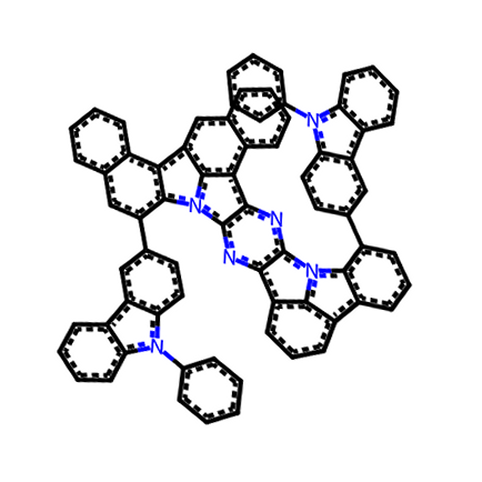 c1ccc(-n2c3ccccc3c3cc(-c4cccc5c6cccc7c8nc9c(nc8n(c45)c67)c4c5ccccc5cc5c6c7ccccc7cc(-c7ccc8c(c7)c7ccccc7n8-c7ccccc7)c6n9c54)ccc32)cc1